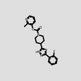 Cc1ncccc1OC(=O)N1CCC(c2nc(-c3ccccc3F)n[nH]2)CC1